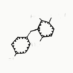 CCc1ccc(Cc2c(O)ccc(C(=O)O)c2O)cc1